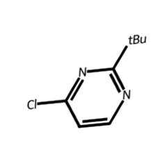 CC(C)(C)c1nccc(Cl)n1